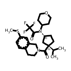 CSc1ccc2c(c1)CN(C(=O)[C@@]1(C(C)C)CC[C@@H](N(C(=O)C(F)(F)F)C3CCOCC3)C1)CC2